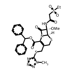 CCS(=O)(=O)CC(=O)N[C@]1(OC)C(=O)N2C(C(=O)OC(c3ccccc3)c3ccccc3)=C(CSc3nnnn3C)CS[C@@H]21